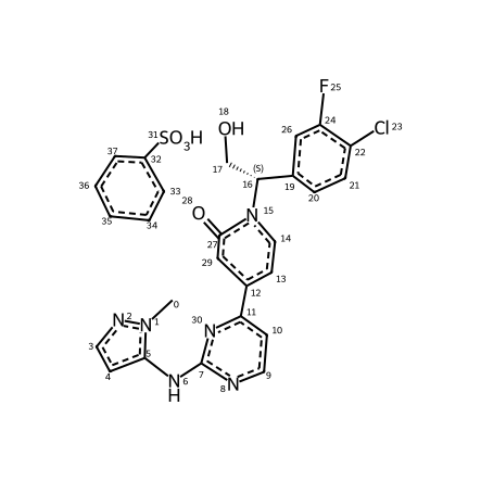 Cn1nccc1Nc1nccc(-c2ccn([C@H](CO)c3ccc(Cl)c(F)c3)c(=O)c2)n1.O=S(=O)(O)c1ccccc1